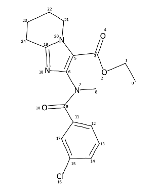 CCOC(=O)c1c(N(C)C(=O)c2cccc(Cl)c2)nc2n1CCCC2